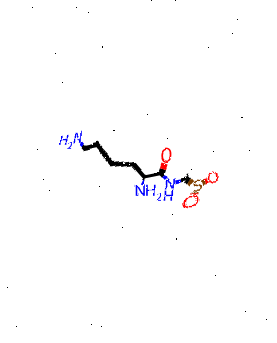 NCCCC[C@H](N)C(=O)N[C]=S(=O)=O